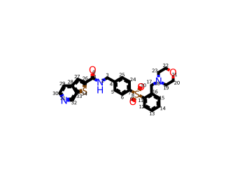 O=C(NCc1ccc(S(=O)(=O)c2ccccc2CN2CCOCC2)cc1)c1cc2ccncc2s1